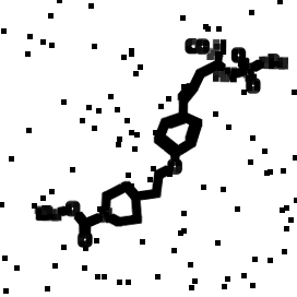 CCCCS(=O)(=O)N[C@@H](CC=Cc1ccc(OCCC2CCN(C(=O)OC(C)(C)C)CC2)cc1)C(=O)O